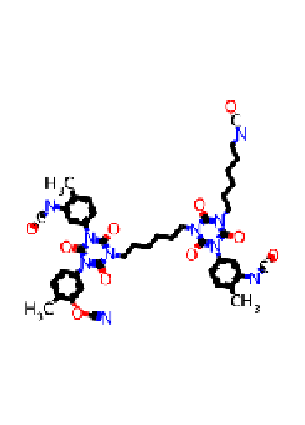 Cc1ccc(-n2c(=O)n(CCCCCCN=C=O)c(=O)n(CCCCCCn3c(=O)n(-c4ccc(C)c(N=C=O)c4)c(=O)n(-c4ccc(C)c(OC#N)c4)c3=O)c2=O)cc1N=C=O